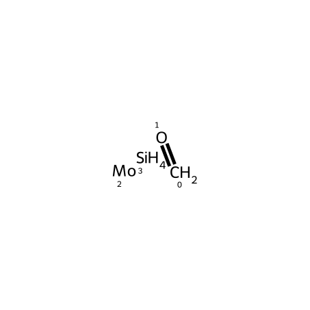 C=O.[Mo].[SiH4]